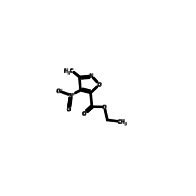 CCOC(=O)c1onc(C)c1[N+](=O)[O-]